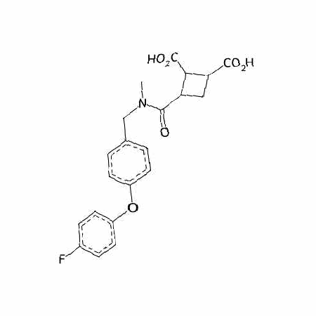 CN(Cc1ccc(Oc2ccc(F)cc2)cc1)C(=O)C1CC(C(=O)O)C1C(=O)O